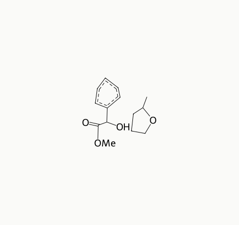 CC1CCCO1.COC(=O)C(O)c1ccccc1